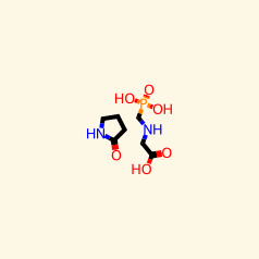 O=C(O)CNCP(=O)(O)O.O=C1CCCN1